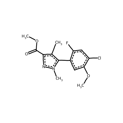 COC(=O)c1nn(C)c(-c2cc(OC)c(Cl)cc2F)c1C